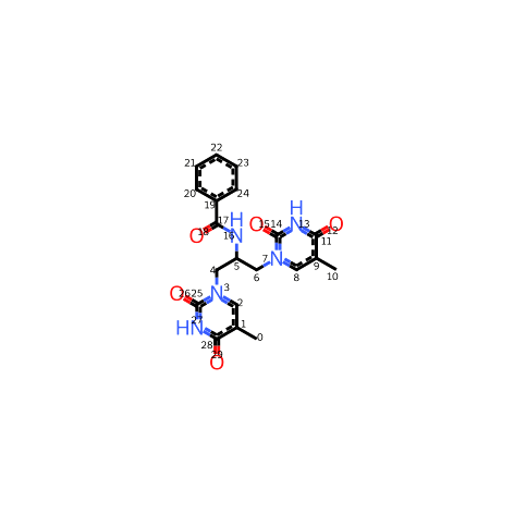 Cc1cn(CC(Cn2cc(C)c(=O)[nH]c2=O)NC(=O)c2ccccc2)c(=O)[nH]c1=O